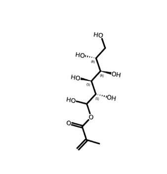 C=C(C)C(=O)OC(O)[C@@H](O)[C@@H](O)[C@H](O)[C@H](O)CO